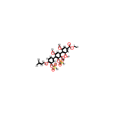 CCOC(=O)c1cc(OC)c(-c2cc(OC)c(-c3ccc(OCC=C(C)C)c(OS(C)(=O)=O)c3)c(OS(C)(=O)=O)c2OC)c(OC)c1